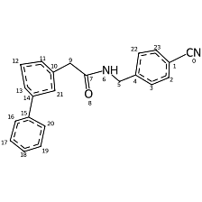 N#Cc1ccc(CNC(=O)Cc2cccc(-c3ccccc3)c2)cc1